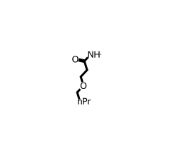 CCCCOCCC([NH])=O